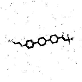 CCCCc1ccc(C2CCC(C3CCC(/C(F)=C/C(F)(F)F)CC3)CC2)cc1